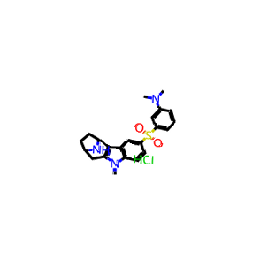 CN(C)c1cccc(S(=O)(=O)c2ccc3c(c2)c2c(n3C)CC3CCC2N3)c1.Cl